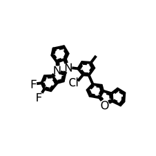 Cc1cc(-c2ccc3oc4ccccc4c3c2)c(Cl)c(-n2c3ccccc3n3c4cc(F)c(F)cc4cc23)c1